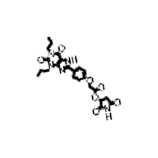 CCCn1c(=O)c2[nH]c(-c3ccc(OCC(=O)OC4CC(=O)NC4=O)cc3)nc2n(CCC)c1=O